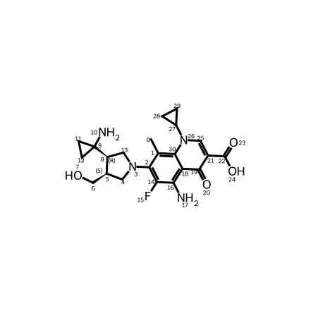 Cc1c(N2C[C@@H](CO)[C@@H](C3(N)CC3)C2)c(F)c(N)c2c(=O)c(C(=O)O)cn(C3CC3)c12